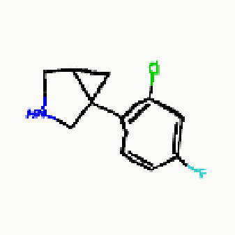 Fc1ccc(C23CNCC2C3)c(Cl)c1